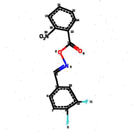 O=C(ON=Cc1ccc(F)c(F)c1)c1ccccc1[N+](=O)[O-]